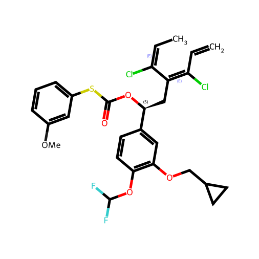 C=C/C(Cl)=C(C[C@H](OC(=O)Sc1cccc(OC)c1)c1ccc(OC(F)F)c(OCC2CC2)c1)\C(Cl)=C/C